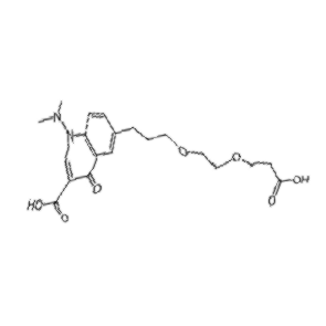 CN(C)n1cc(C(=O)O)c(=O)c2cc(CCCOCCOCCC(=O)O)ccc21